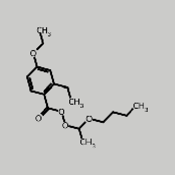 CCCCOC(C)OOC(=O)c1ccc(OCC)cc1CC